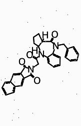 O=C1c2cc3ccccc3cc2C(=O)N1CC(=O)N1c2ccccc2N(Cc2ccccc2)C(=O)[C@H]2CCC[C@H]21